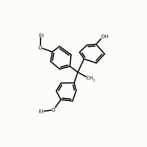 CCOc1ccc(C(C)(c2ccc(O)cc2)c2ccc(OCC)cc2)cc1